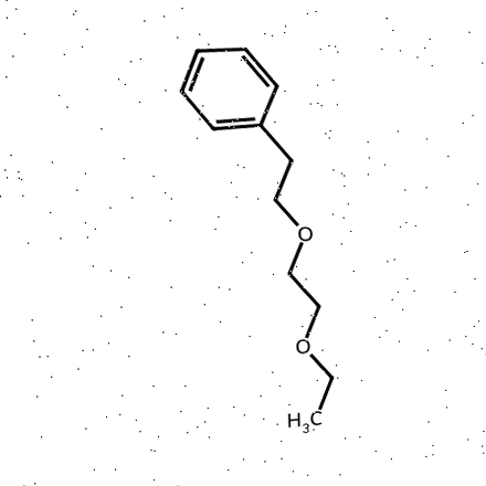 CCOCCOCCc1ccccc1